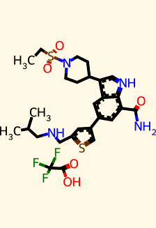 CCS(=O)(=O)N1CCC(c2c[nH]c3c(C(N)=O)cc(-c4csc(CNCC(C)C)c4)cc23)CC1.O=C(O)C(F)(F)F